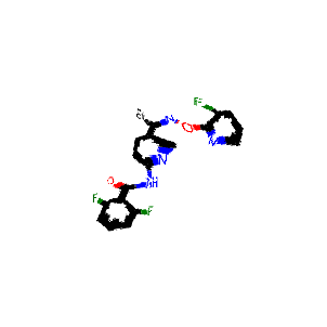 CCC(=NOc1ncccc1F)c1ccc(NC(=O)c2c(F)cccc2F)nc1